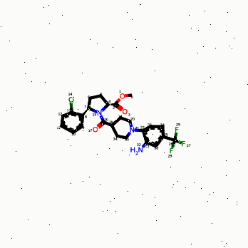 COC(=O)[C@@H]1CC[C@H](c2ccccc2Cl)N1C(=O)C1CCN(c2ccc(C(F)(F)F)cc2N)CC1